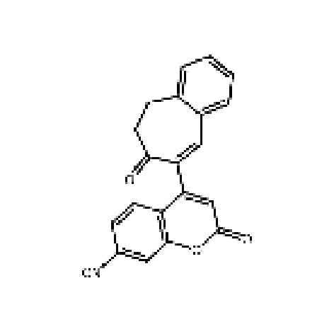 O=Nc1ccc2c(C3=Cc4ccccc4CCC3=O)cc(=O)oc2c1